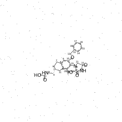 O=C(O)NC[C@@H]1CCc2cc(OCc3ccccc3)c(N3CC(=O)NS3(=O)=O)c(F)c2C1